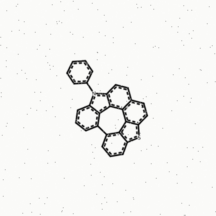 c1ccc(-n2c3cccc4c3c3c5c(ccc6sc7cccc-4c7c65)ccc32)cc1